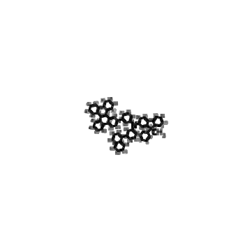 CC1(c2ccccc2)c2ccccc2-c2ccc(N(c3cccc(-c4ccc5c(c4)c(-c4ccccc4)c(-c4ccccc4)c4ccccc45)c3)c3cccc(-c4cccc5ccccc45)c3)cc21